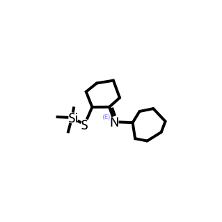 C[Si](C)(C)SC1CCCC/C1=N\C1CCCCCC1